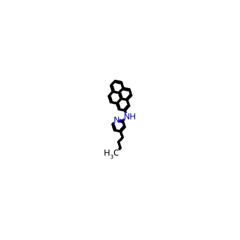 CCCCc1ccnc(Nc2cc3ccc4cccc5ccc(c2)c3c45)c1